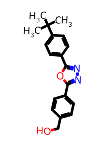 CC(C)(C)c1ccc(-c2nnc(-c3ccc(CO)cc3)o2)cc1